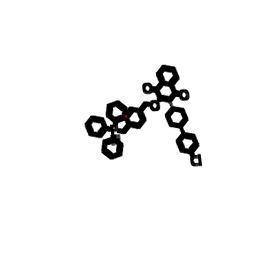 O=C1C(OCc2ccc(C[PH](c3ccccc3)(c3ccccc3)c3ccccc3)cc2)=C([C@H]2CC[C@H](c3ccc(Cl)cc3)CC2)C(=O)c2ccccc21